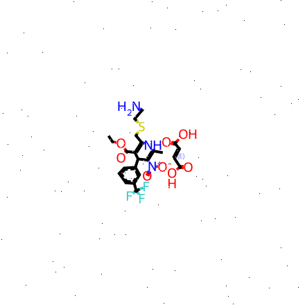 CCOC(=O)C1=C(CSCCN)NC(C)=C([N+](=O)[O-])C1c1cccc(C(F)(F)F)c1.O=C(O)/C=C/C(=O)O